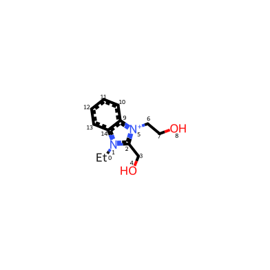 CCn1c(CO)[n+](CCO)c2ccccc21